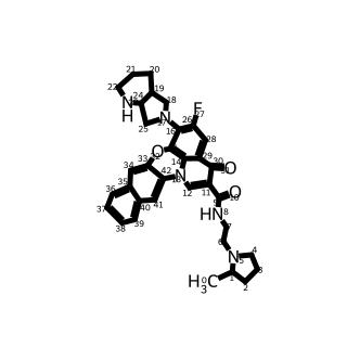 CC1CCCN1CCNC(=O)c1cn2c3c(c(N4CC5CCCNC5C4)c(F)cc3c1=O)Oc1cc3ccccc3cc1-2